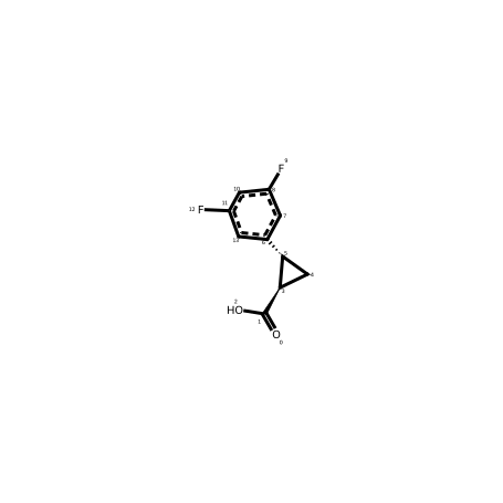 O=C(O)[C@@H]1C[C@H]1c1cc(F)cc(F)c1